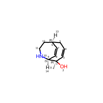 C[C@@]1(O)C=CC[C@H]2C=C[C@@H]1NCC2